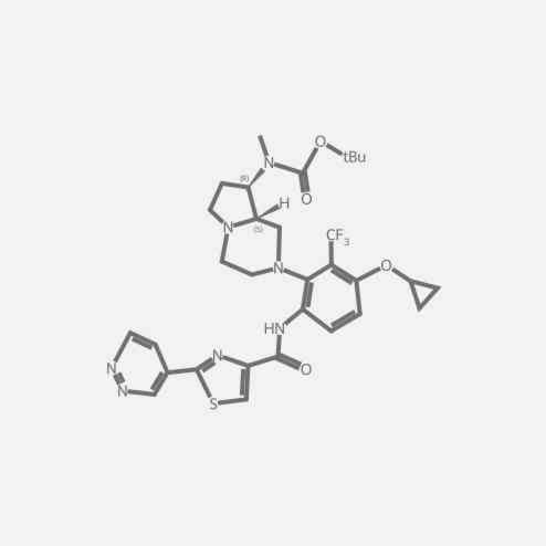 CN(C(=O)OC(C)(C)C)[C@@H]1CCN2CCN(c3c(NC(=O)c4csc(-c5ccnnc5)n4)ccc(OC4CC4)c3C(F)(F)F)C[C@@H]12